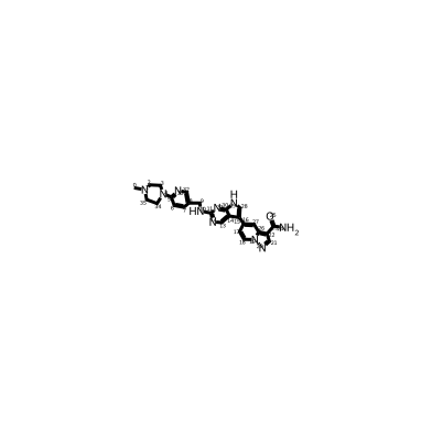 CN1CCN(c2ccc(CNc3ncc4c(-c5ccn6ncc(C(N)=O)c6c5)c[nH]c4n3)cn2)CC1